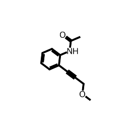 COCC#Cc1ccccc1NC(C)=O